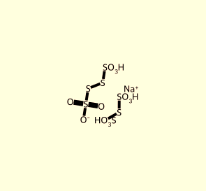 O=S(=O)(O)SS(=O)(=O)O.O=S(=O)([O-])SSS(=O)(=O)O.[Na+]